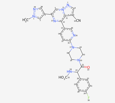 Cn1cc(-c2cn3ncc(C#N)c3c(-c3ccc(N4CCN(C(=O)C(NC(=O)O)c5ccc(F)cc5)CC4)nc3)n2)cn1